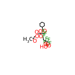 CC(=O)COC(=O)C(OCCC(F)(F)C(F)(F)S(=O)(=O)O)(OC(=O)C1CCCCC1)C(F)(F)F